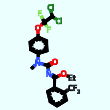 CCOC(=NC(=O)N(C)c1ccc(OC(F)(F)C(Cl)Cl)cc1)c1ccccc1C(F)(F)F